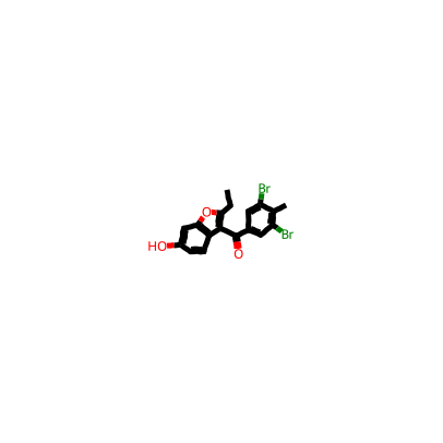 CCc1oc2cc(O)ccc2c1C(=O)c1cc(Br)c(C)c(Br)c1